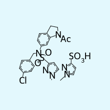 CC(=O)N1CCc2ccc(N(Cc3ccc(Cl)cc3)S(=O)(=O)c3ccn(C)n3)cc21.Cn1ccc(S(=O)(=O)O)n1